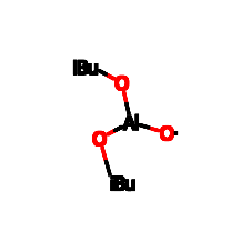 CCC(C)[O][Al]([O])[O]C(C)CC